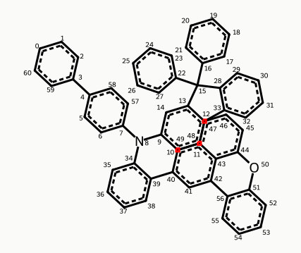 c1ccc(-c2ccc(N(c3ccc4c(c3)C(c3ccccc3)(c3ccccc3)c3ccccc3-4)c3ccccc3-c3cc4c5c(cccc5c3)Oc3ccccc3-4)cc2)cc1